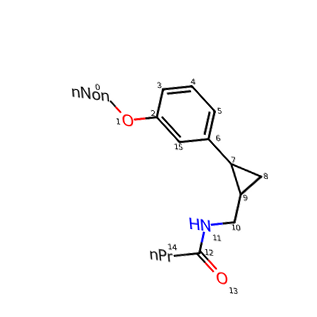 CCCCCCCCCOc1cccc(C2CC2CNC(=O)CCC)c1